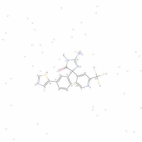 CN1C(=O)C(c2ccnc(C(F)(F)F)c2)(c2cc(-c3cncs3)ccc2F)N=C1N